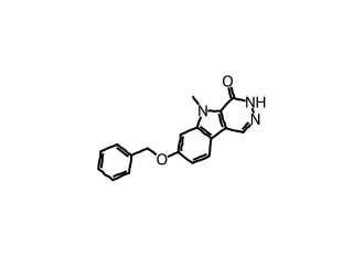 Cn1c2cc(OCc3ccccc3)ccc2c2cn[nH]c(=O)c21